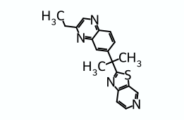 CCc1cnc2ccc(C(C)(C)c3nc4ccncc4s3)cc2n1